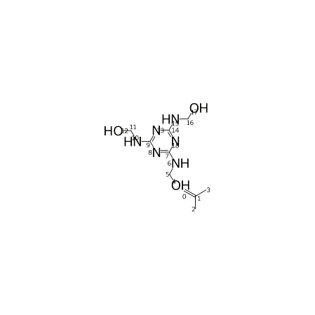 C=C(C)C.OCNc1nc(NCO)nc(NCO)n1